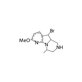 COc1ccc2c(n1)N1C(C)CNCC1C2Br